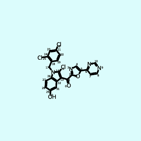 O=C(c1ncc(-c2ccncn2)o1)c1c(Cl)n(Cc2ccc(Cl)cc2Cl)c2ccc(O)cc12